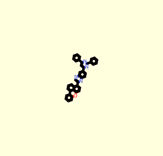 c1ccc(-c2cc(-c3ccc4nc(-c5ccc6c7c(cccc57)-c5ccccc5O6)cnc4c3)nc(-c3ccccc3)n2)cc1